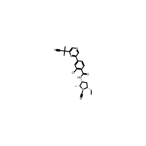 CC[C@H]1C[C@@H](NC(=O)c2ccc(-c3cncc(C(C)(C)C#N)n3)cc2Cl)[C@@H](C)N1C#N